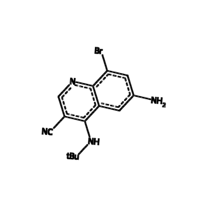 CC(C)(C)Nc1c(C#N)cnc2c(Br)cc(N)cc12